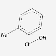 OCl.[Na][c]1ccccc1